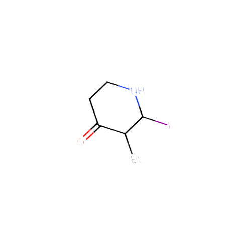 CCC1C(=O)[CH]CNC1I